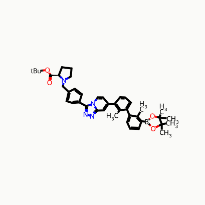 Cc1c(B2OC(C)(C)C(C)(C)O2)cccc1-c1cccc(-c2ccn3c(-c4ccc(CN5CCC[C@@H]5C(=O)OC(C)(C)C)cc4)nnc3c2)c1C